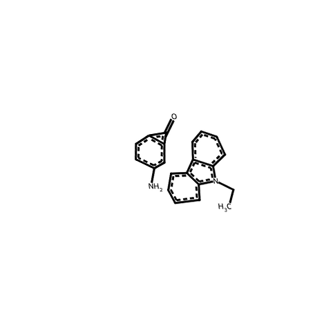 CCn1c2ccccc2c2ccccc21.Nc1ccc2c(=O)c2c1